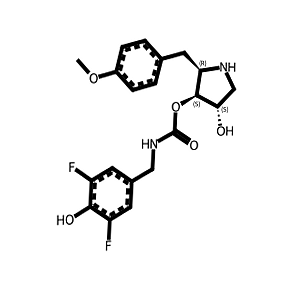 COc1ccc(C[C@H]2NC[C@H](O)[C@H]2OC(=O)NCc2cc(F)c(O)c(F)c2)cc1